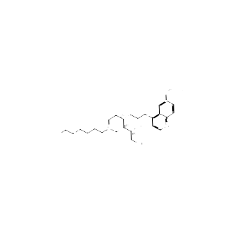 CCCCCCCN1CC[C@@H](CCCc2ccnc3ccc(OC)cc23)[C@@H]([C@@H](O)CO)C1